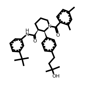 Cc1ccc(C(=O)N2CCC[C@H](C(=O)Nc3cccc(C(C)(C)C)c3)[C@@H]2c2ccc(CCC(C)(C)O)cc2)c(C)c1